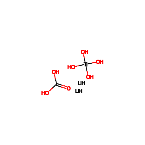 O=C(O)O.[LiH].[LiH].[OH][Ti]([OH])([OH])[OH]